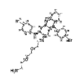 NCCOCCOCC/N=c1/cc2n(-c3ccc(Br)cc3)c3ccccc3nc-2cc1Nc1ccc(Br)cc1